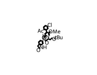 COc1cn(C(CCOC(C)(C)C)C(=O)Nc2ccc3c(c2)NC(=O)C3)c(=O)cc1-c1cc(Cl)ccc1C(C)=O